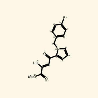 COC(=O)/C(O)=C/C(=O)c1cccn1Cc1ccc(F)cc1